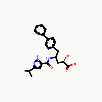 CC(C)c1cc(C(=O)NC(Cc2ccc(-c3ccccc3)cc2)C[C@@H](O)C(=O)O)[nH]n1